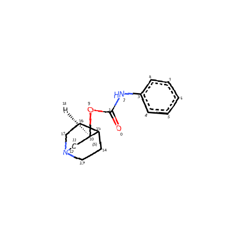 O=C(Nc1ccccc1)O[C@@H]1CN2CCC1CC2